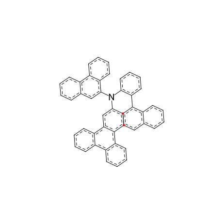 c1ccc(N(c2ccc3c4ccccc4c4ccccc4c3c2)c2cc3ccccc3c3ccccc23)c(-c2cccc3ccccc23)c1